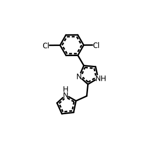 Clc1ccc(Cl)c(-c2c[nH]c(Cc3ccc[nH]3)n2)c1